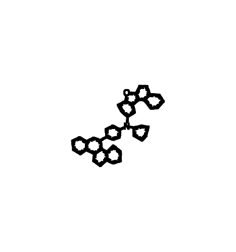 c1ccc(N(c2ccc(-c3cc4ccccc4c4ccc5ccccc5c34)cc2)c2ccc3oc4ccc5ccccc5c4c3c2)cc1